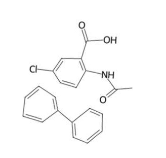 CC(=O)Nc1ccc(Cl)cc1C(=O)O.c1ccc(-c2ccccc2)cc1